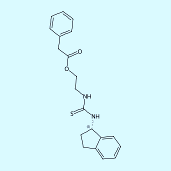 O=C(Cc1ccccc1)OCCNC(=S)N[C@H]1CCc2ccccc21